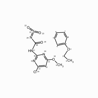 CCOc1ccccc1.COc1cc(Cl)nc(NC(=O)N=S(=O)=O)n1